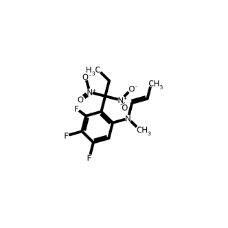 CC=CN(C)c1cc(F)c(F)c(F)c1C(CC)([N+](=O)[O-])[N+](=O)[O-]